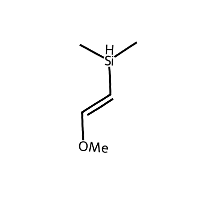 COC=C[SiH](C)C